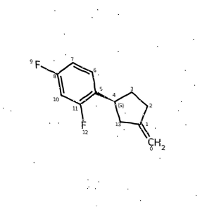 C=C1CC[C@H](c2ccc(F)cc2F)C1